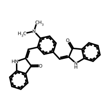 CN(C)c1ccc(C=C2Nc3ccccc3C2=O)cc1C=C1Nc2ccccc2C1=O